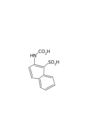 O=C(O)Nc1ccc2ccccc2c1S(=O)(=O)O